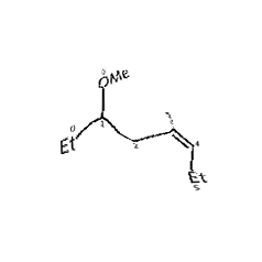 [CH2]CC(C/C=C\CC)OC